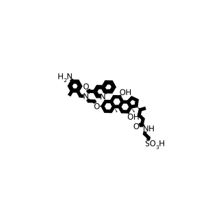 Cc1cc(N)ccc1CN(CCO[C@H]1CC[C@@]2(C)C(C1)C[C@@H](O)C1C2C[C@H](O)[C@@]2(C)C1CC[C@@H]2C(C)CCC(=O)NCCS(=O)(=O)O)C(=O)c1cnc2ccccc2c1